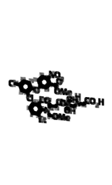 CCc1cccc(CC)c1N(COC)C(=O)CCl.COC(=O)c1cc(Oc2ccc(Cl)cc2Cl)ccc1[N+](=O)[O-].O=C(O)CNCP(=O)(O)O